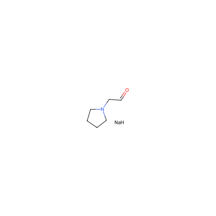 O=CCN1CCCC1.[NaH]